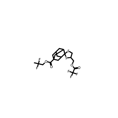 CC(F)(F)COC(=O)C12CC3CC(C1)C1(SCC(COC(=O)C(F)(F)F)S1)C(C3)C2